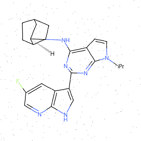 CC(C)n1ccc2c(N[C@@H]3CC4CCC3CC4)nc(-c3c[nH]c4ncc(F)cc34)nc21